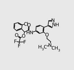 CN(C)CCOc1cc(NC(=O)C(OC(=O)C(F)(F)F)c2ccccc2Cl)ccc1-c1cn[nH]c1